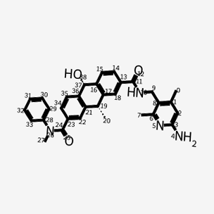 Cc1cc(N)nc(C)c1CNC(=O)c1ccc2c(c1)[C@H](C)c1cc(C(=O)N(C)c3ccccc3)ccc1[C@@H]2O